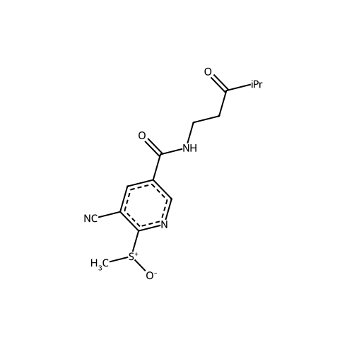 CC(C)C(=O)CCNC(=O)c1cnc([S+](C)[O-])c(C#N)c1